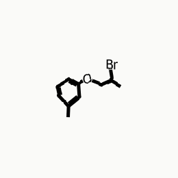 Cc1cccc(OCC(C)Br)c1